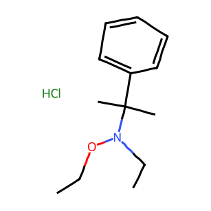 CCON(CC)C(C)(C)c1ccccc1.Cl